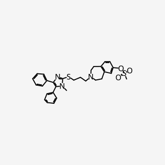 Cn1c(SCCCN2CCc3ccc(OS(C)(=O)=O)cc3CC2)nc(-c2ccccc2)c1-c1ccccc1